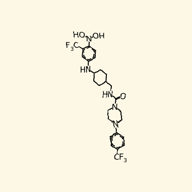 O=C(NCC1CCC(Nc2ccc(N(O)O)c(C(F)(F)F)c2)CC1)N1CCN(c2ccc(C(F)(F)F)cc2)CC1